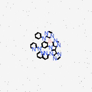 c1ccc(N2c3cc(N(c4ccccn4)c4ccccn4)cc4c3B(c3nccnc32)c2ncnc3c5c6nccnc6n(-c6ccccn6)c5n-4c23)cc1